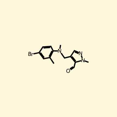 Cc1cc(Br)ccc1N(C)Cc1cnn(C)c1C=O